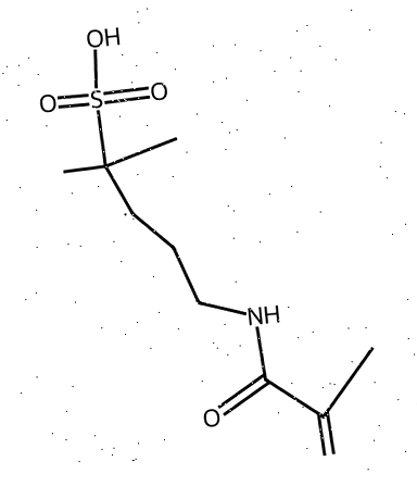 C=C(C)C(=O)NCC[CH]C(C)(C)S(=O)(=O)O